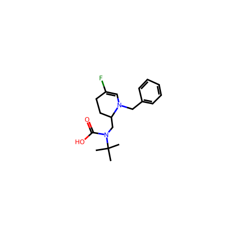 CC(C)(C)N(CC1CCC(F)=CN1Cc1ccccc1)C(=O)O